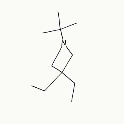 CCC1(CC)CN(C(C)(C)C)C1